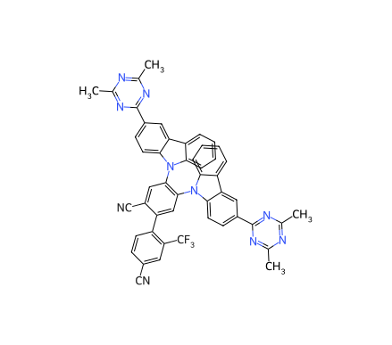 Cc1nc(C)nc(-c2ccc3c(c2)c2ccccc2n3-c2cc(C#N)c(-c3ccc(C#N)cc3C(F)(F)F)cc2-n2c3ccccc3c3cc(-c4nc(C)nc(C)n4)ccc32)n1